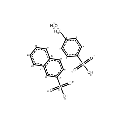 Cc1ccc(S(=O)(=O)O)cc1.O.O=S(=O)(O)c1ccc2ccccc2c1